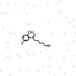 O=C(CCCCCBr)c1cc(F)ccc1O